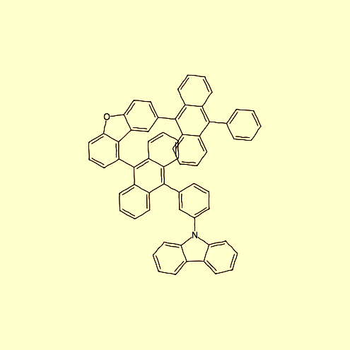 c1ccc(-c2c3ccccc3c(-c3ccc4oc5cccc(-c6c7ccccc7c(-c7cccc(-n8c9ccccc9c9ccccc98)c7)c7ccccc67)c5c4c3)c3ccccc23)cc1